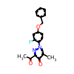 CC(=O)c1nn(-c2ccc(OCc3ccccc3)cc2F)cc(C)c1=O